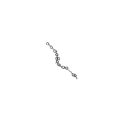 C=CCOOCCCCCCOc1ccc(COOc2ccc(OC(=O)c3ccc(C(=C)OCCCOCCCOC)cc3)cc2C)cc1